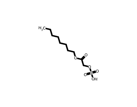 CCCCCCCCOC(=O)COS(=O)(=O)O